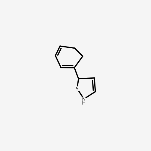 C1=CCCC(C2C=CNS2)=C1